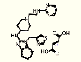 O=C(O)/C=C/C(=O)O.c1cnc(NCCN2CCC(Nc3nc4ccccc4n3Cc3cscn3)CC2)nc1